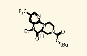 CCN1C(=O)[C@@H]2CN(C(=O)OC(C)(C)C)CCN2c2ncc(C(F)(F)F)cc21